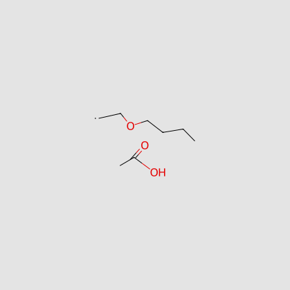 CC(=O)O.[CH2]COCCCC